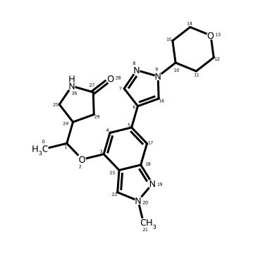 CC(Oc1cc(-c2cnn(C3CCOCC3)c2)cc2nn(C)cc12)C1CNC(=O)C1